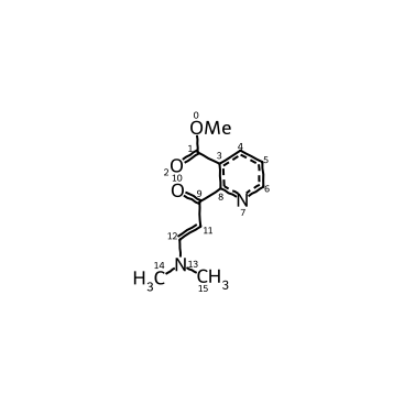 COC(=O)c1cccnc1C(=O)/C=C/N(C)C